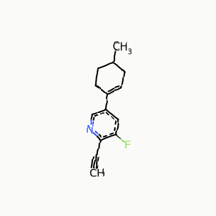 C#Cc1ncc(C2=CCC(C)CC2)cc1F